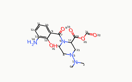 CN(C)N1CCN(C(=O)c2cccc(N)c2O)C(C(=O)OC=O)C1